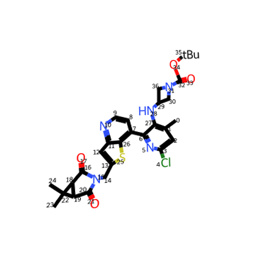 Cc1cc(Cl)nc(-c2ccnc3cc(CN4C(=O)C5C(C4=O)C5(C)C)sc23)c1NC1CN(C(=O)OC(C)(C)C)C1